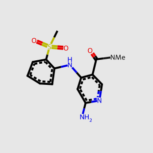 CNC(=O)c1cnc(N)cc1Nc1ccccc1S(C)(=O)=O